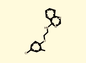 Cc1cc(Cl)ccc1OCCNc1ncnc2ccccc12